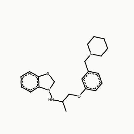 CC(COc1cccc(CN2CCCCC2)c1)NN1CSc2ccccc21